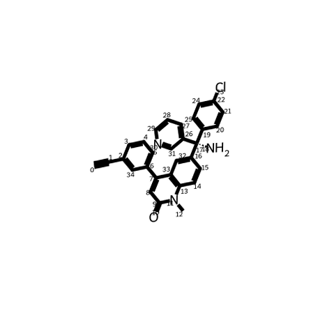 C#Cc1cccc(-c2cc(=O)n(C)c3ccc([C@](N)(c4ccc(Cl)cc4)c4cccnc4)cc23)c1